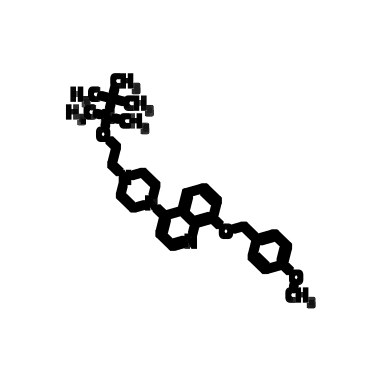 COc1ccc(COc2cccc3c(N4CCN(CCO[Si](C)(C)C(C)(C)C)CC4)ccnc23)cc1